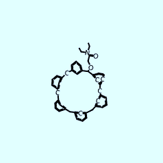 CCN(CC)C(=O)COC1c2cccc(c2)Cc2cccc(c2)Cc2cccc(c2)Cc2cccc(c2)Cc2cccc(c2)Cc2cccc1c2